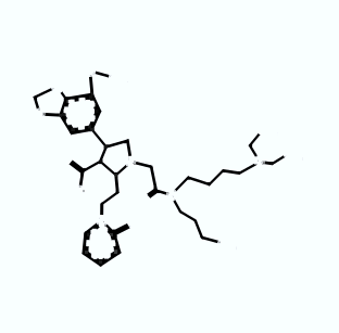 CCCCN(CCCCN(CC)CC)C(=O)CN1CC(c2cc(OC)c3c(c2)OCO3)C(C(=O)O)C1CCn1ccccc1=O